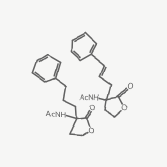 CC(=O)NC1(CC=Cc2ccccc2)CCOC1=O.CC(=O)NC1(CCCc2ccccc2)CCOC1=O